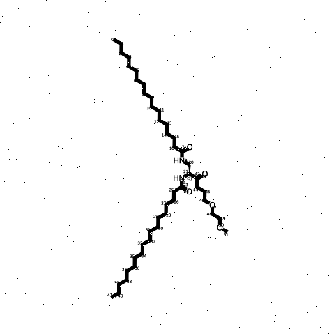 CCCCCCCCCCCCCCCCCC(=O)NC[C@H](NC(=O)CCCCCCCCCCCCCCCCC)C(=O)CCCOCCOC